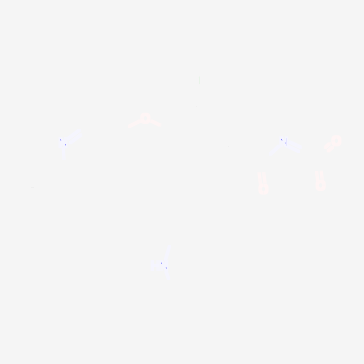 C1CCNCC1.CC(C)COc1ncc(Oc2cc(F)c(C(=O)N=S(=O)=O)cc2Cl)cc1Cl